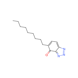 CCCCCCCCCC1=CC=C2N=NN=C2C1=O